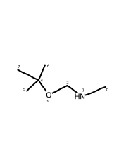 CNCOC(C)(C)C